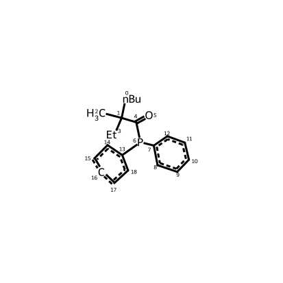 CCCCC(C)(CC)C(=O)P(c1ccccc1)c1ccccc1